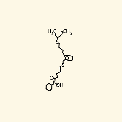 CCCC(CC)SCCCCC1C2CCC(O2)C1CSCCCCC(=O)N(O)C1CCCCC1